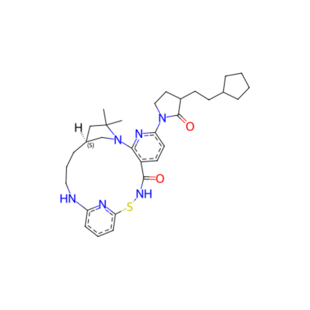 CC1(C)C[C@@H]2CCCNc3cccc(n3)SNC(=O)c3ccc(N4CCC(CCC5CCCC5)C4=O)nc3N1C2